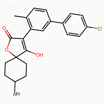 CCCC1CCC2(CC1)OC(=O)C(c1cc(-c3ccc(Cl)cc3)ccc1C)=C2O